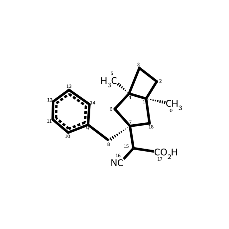 C[C@@]12CC[C@]1(C)C[C@](Cc1ccccc1)(C(C#N)C(=O)O)C2